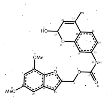 COc1cc(OC)c2oc(COC(=O)Nc3ccc4c(c3)OC(O)C=C4C)cc2c1